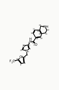 O=C(Nc1cn(Cc2ccc(C(F)(F)F)o2)cn1)c1ccc2c(c1)CCNC2